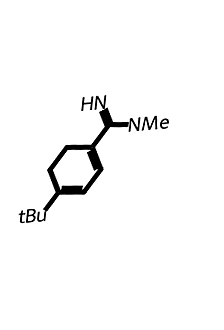 CNC(=N)C1=CC=C(C(C)(C)C)CC1